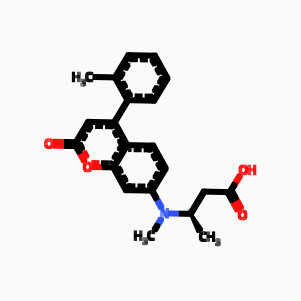 Cc1ccccc1-c1cc(=O)oc2cc(N(C)[C@H](C)CC(=O)O)ccc12